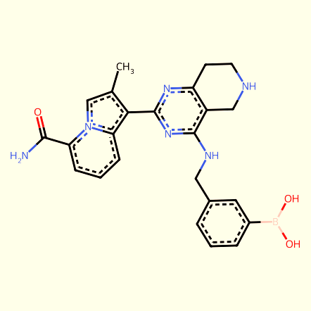 Cc1cn2c(C(N)=O)cccc2c1-c1nc2c(c(NCc3cccc(B(O)O)c3)n1)CNCC2